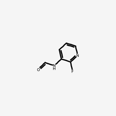 O=[C]Nc1cccnc1F